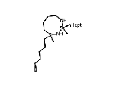 C=CCCCC[Si]1(C)CCCCN[Si](C)(CCCCCCC)N1